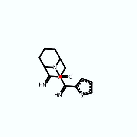 N=C(c1cccs1)N1CC2CCCC(C1=N)N2C=O